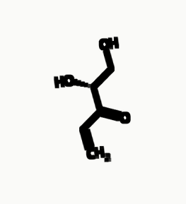 C=CC(=O)[C@H](O)CO